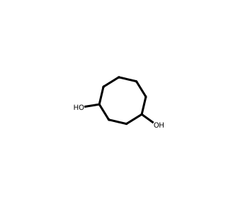 OC1CCCCC(O)CC1